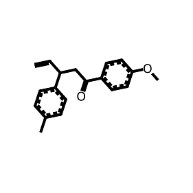 C=CC(CC(=O)c1ccc(OC)cc1)c1ccc(C)cc1